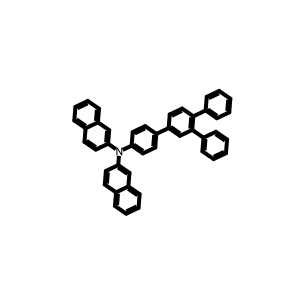 c1ccc(-c2ccc(-c3ccc(N(c4ccc5ccccc5c4)c4ccc5ccccc5c4)cc3)cc2-c2ccccc2)cc1